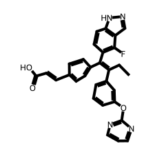 CCC(=C(c1ccc(C=CC(=O)O)cc1)c1ccc2[nH]ncc2c1F)c1cccc(Oc2ncccn2)c1